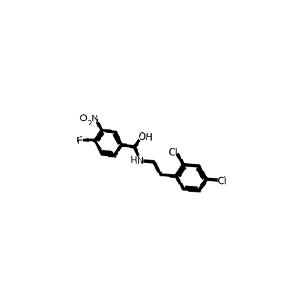 O=[N+]([O-])c1cc(C(O)NCCc2ccc(Cl)cc2Cl)ccc1F